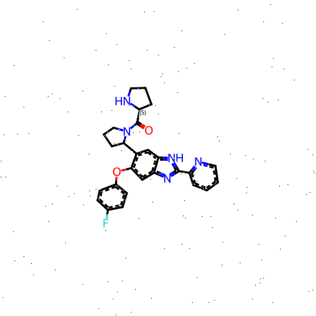 O=C([C@@H]1CCCN1)N1CCCC1c1cc2[nH]c(-c3ccccn3)nc2cc1Oc1ccc(F)cc1